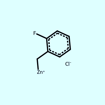 Fc1ccccc1[CH2][Zn+].[Cl-]